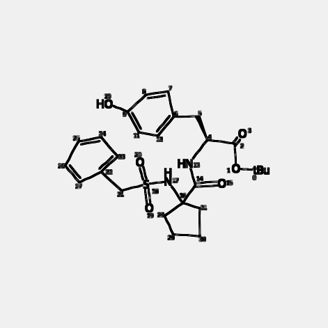 CC(C)(C)OC(=O)[C@H](Cc1ccc(O)cc1)NC(=O)C1(NS(=O)(=O)Cc2ccccc2)CCCC1